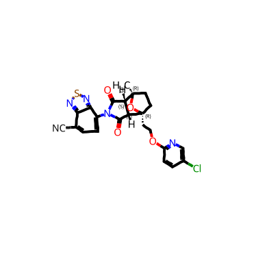 C[C@]12CC[C@](CCOc3ccc(Cl)cn3)(O1)[C@@H]1C(=O)N(c3ccc(C#N)c4nsnc34)C(=O)[C@@H]12